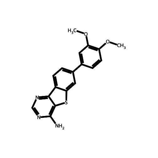 COc1ccc(-c2ccc3c(c2)sc2c(N)ncnc23)cc1OC